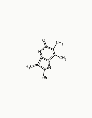 C=c1c(C(C)(C)C)nn2c(C)c(C)c(=O)nc12